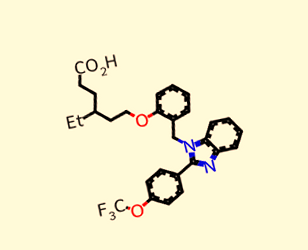 CCC(CCOc1ccccc1Cn1c(-c2ccc(OC(F)(F)F)cc2)nc2ccccc21)CCC(=O)O